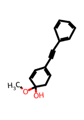 COC1(O)C=CC(C#Cc2ccccc2)=CC1